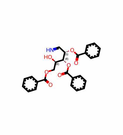 N=C[C@H](OC(=O)c1ccccc1)[C@H](OC(=O)c1ccccc1)[C@H](O)COC(=O)c1ccccc1